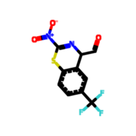 O=CC1N=C([N+](=O)[O-])Sc2ccc(C(F)(F)F)cc21